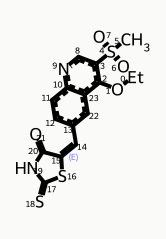 CCOc1c(S(C)(=O)=O)cnc2ccc(/C=C3/SC(=S)NC3=O)cc12